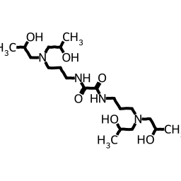 CC(O)CN(CCCNC(=O)C(=O)NCCCN(CC(C)O)CC(C)O)CC(C)O